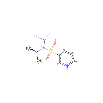 C[C@H](N(C(F)F)S(=O)(=O)c1cccnc1)C(F)(F)F